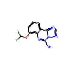 Nc1nc2c(OC(F)F)cccc2c2ncnn12